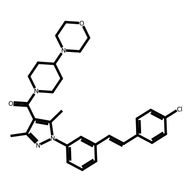 Cc1nn(-c2cccc(C=Cc3ccc(Cl)cc3)c2)c(C)c1C(=O)N1CCC(N2CCOCC2)CC1